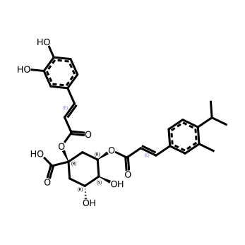 Cc1cc(/C=C/C(=O)O[C@@H]2C[C@@](OC(=O)/C=C/c3ccc(O)c(O)c3)(C(=O)O)C[C@@H](O)[C@@H]2O)ccc1C(C)C